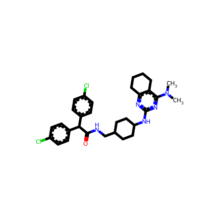 CN(C)c1nc(NC2CCC(CNC(=O)C(c3ccc(Cl)cc3)c3ccc(Cl)cc3)CC2)nc2c1CCCC2